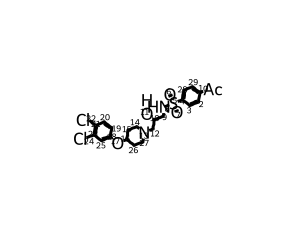 CC(=O)c1ccc(S(=O)(=O)NC[C@H](O)CN2CCC(Oc3ccc(Cl)c(Cl)c3)CC2)cc1